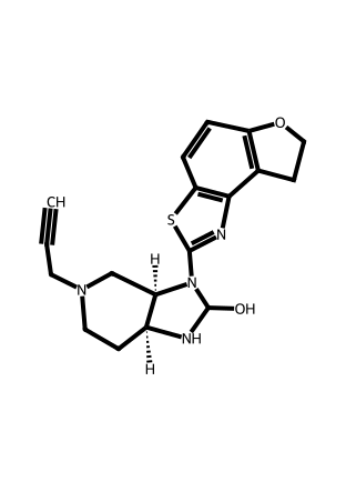 C#CCN1CC[C@@H]2NC(O)N(c3nc4c5c(ccc4s3)OCC5)[C@@H]2C1